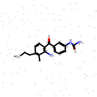 Cc1c(CCC(=O)O)ccc(C(=O)c2cccc(NC(N)=S)c2)c1N